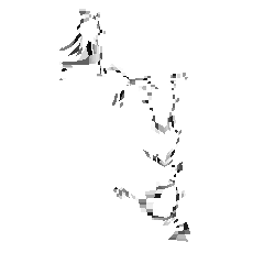 C[C@H]1CN(CC(=O)Nc2cc(Cl)cc(Cl)c2)CCN1C[C@H](O)COc1ccccc1F